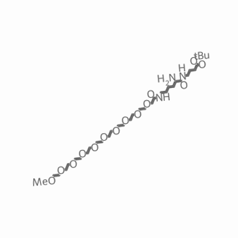 COCCOCCOCCOCCOCCOCCOCCOCCOCCOCC(=O)NCCCCC(N)C(=O)NCCCC(=O)OC(C)(C)C